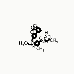 CCCc1nc2c(C)cc(C(=O)N[C@@H](CS)CC(C)C)cc2n1Cc1ccc(-c2cccc(Cl)c2C(=O)O)cc1